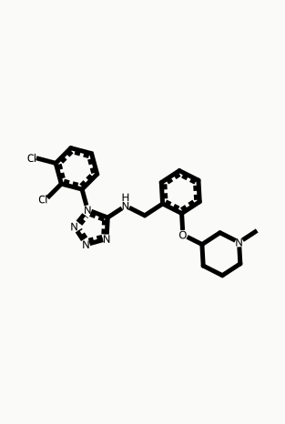 CN1CCCC(Oc2ccccc2CNc2nnnn2-c2cccc(Cl)c2Cl)C1